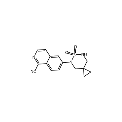 N#Cc1nccc2cc(N3CC4(CC4)CNS3(=O)=O)ccc12